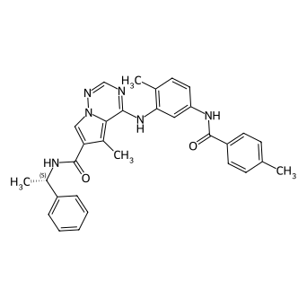 Cc1ccc(C(=O)Nc2ccc(C)c(Nc3ncnn4cc(C(=O)N[C@@H](C)c5ccccc5)c(C)c34)c2)cc1